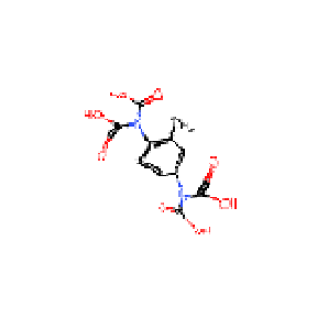 Cc1cc(N(C(=O)O)C(=O)O)ccc1N(C(=O)O)C(=O)O